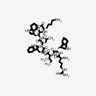 CC[C@H](C)[C@H](NC(=O)[C@H](Cc1c[nH]c2ccccc12)NC(=O)[C@@H](N)CCCNC(=N)N)C(=O)N[C@@H](Cc1c[nH]c2ccccc12)C(=O)N[C@@H](CC(C)C)C(=O)N[C@@H](Cc1c[nH]c2ccccc12)C(=O)N[C@@H](CCCCN)C(=O)O